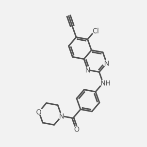 C#Cc1ccc2nc(Nc3ccc(C(=O)N4CCOCC4)cc3)ncc2c1Cl